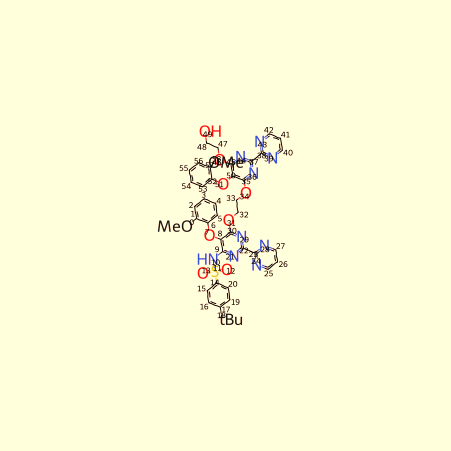 COc1ccccc1Oc1c(NS(=O)(=O)c2ccc(C(C)(C)C)cc2)nc(-c2ncccn2)nc1OCCOc1nc(-c2ncccn2)nc(OCCO)c1Oc1ccccc1OC